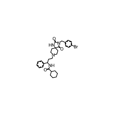 O=C(NC(CCN1CCC2(CC1)NC(=O)N(Cc1ccc(Br)cc1)C2=O)c1ccccc1)C1CCCCC1